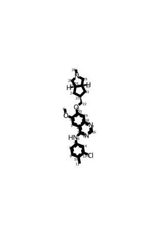 COc1cc2c(Nc3ccc(C)c(Cl)c3)ncnc2cc1OC[C@H]1C[C@@H]2CN(C)C[C@@H]2C1